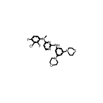 CN(c1ccnc(Nc2cc(N3CCOCC3)cc(N3CCSCC3)c2)n1)c1ccc(F)c(Cl)c1F